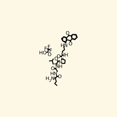 CCC[C@H](N)C(=O)NCC(=O)N[C@@H](CC(C)C)C(=O)N1CCC[C@H]1C(=O)NCCCNc1cccc2c1C(=O)c1ccccc1C2=O.O=C(O)C(F)(F)F